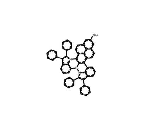 CC(C)(C)c1cc2ccc3c4c5c(c6ccc(c1)c2c36)-n1c(-c2ccccc2)c(-c2ccccc2)c2cccc(c21)B5n1c(-c2ccccc2)c(-c2ccccc2)c2cccc-4c21